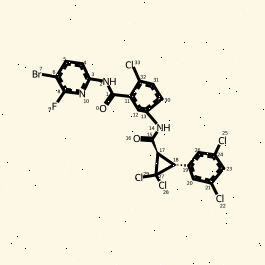 O=C(Nc1ccc(Br)c(F)n1)c1cc(NC(=O)[C@H]2[C@H](c3cc(Cl)cc(Cl)c3)C2(Cl)Cl)ccc1Cl